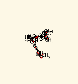 C=CC1CCCCCC(OCC(=O)NCCOCCOCCOCCOCCC(=O)N[C@H](C(=O)N[C@@H](CCCNC(N)=O)C(=O)Nc2ccc(COC(=O)NCC(=O)N[C@H]3CCc4c(C)c(F)cc5nc6c(c3c45)Cn3c-6cc4c(c3=O)COC(=O)[C@]4(O)CC)cc2)C(C)C)C1